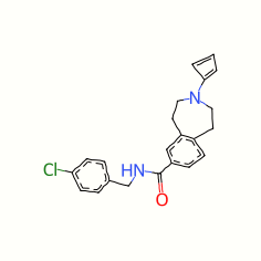 O=C(NCc1ccc(Cl)cc1)c1ccc2c(c1)CCN(C1=CC=C1)CC2